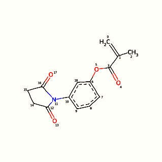 C=C(C)C(=O)Oc1cccc(N2C(=O)CCC2=O)c1